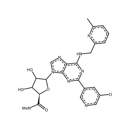 CNC(=O)[C@@H]1OC(n2cnc3c(NCc4cccc(C)n4)nc(-c4cncc(Cl)c4)nc32)C(O)C1O